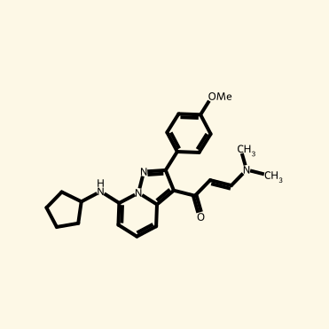 COc1ccc(-c2nn3c(NC4CCCC4)cccc3c2C(=O)/C=C/N(C)C)cc1